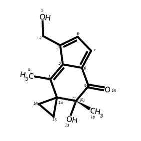 CC1=C2C(CO)=CC=C2C(=O)[C@](C)(O)C12CC2